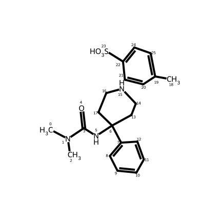 CN(C)C(=O)NC1(c2ccccc2)CCNCC1.Cc1ccc(S(=O)(=O)O)cc1